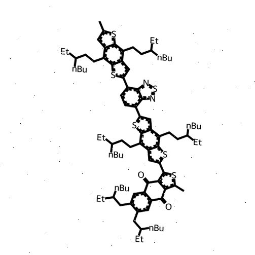 CCCCC(CC)CCc1c2cc(-c3ccc(-c4cc5c(CCC(CC)CCCC)c6sc(-c7sc(C)c8c7C(=O)c7cc(CC(CC)CCCC)c(CC(CC)CCCC)cc7C8=O)cc6c(CCC(CC)CCCC)c5s4)c4nsnc34)sc2c(CCC(CC)CCCC)c2cc(C)sc12